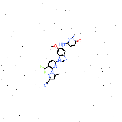 COc1cc2c(cc1Nc1ccc(=O)n(C)n1)ncn2-c1ccc(C(F)F)c(-n2nc(C#N)cc2C)n1